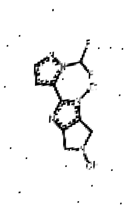 CCn1c(-c2ccnn2C(F)F)nc2c1CN(O)C2